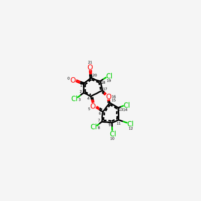 O=c1c(Cl)c2oc3c(Cl)c(Cl)c(Cl)c(Cl)c3oc-2c(Cl)c1=O